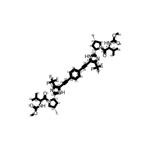 COC(=O)N[C@H](C(=O)N1C[C@@H](C)C[C@H]1c1nc(C(F)(F)F)c(C#Cc2ccc(C#Cc3[nH]c([C@@H]4C[C@H](C)CN4C(=O)[C@@H](NC(=O)OC)C(C)C)nc3C(F)(F)F)cc2)[nH]1)C(C)C